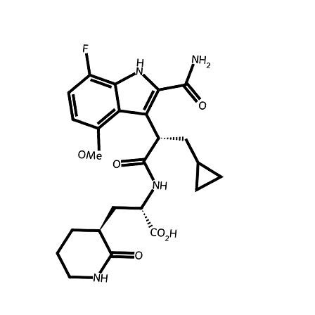 COc1ccc(F)c2[nH]c(C(N)=O)c([C@H](CC3CC3)C(=O)N[C@@H](C[C@@H]3CCCNC3=O)C(=O)O)c12